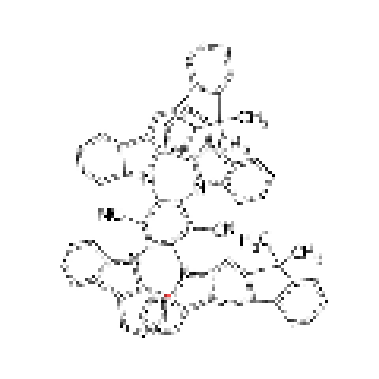 CC1(C)c2ccccc2-c2cc3c4ccccc4n(-c4c(C#N)c(-n5c6ccccc6c6ccccc65)c(-n5c6ccccc6c6cc7c(cc65)C(C)(C)c5ccccc5-7)c(C#N)c4-n4c5ccccc5c5ccccc54)c3cc21